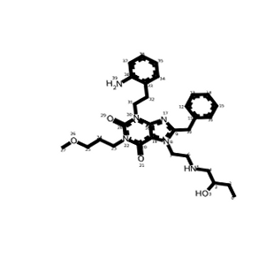 CCC(O)CNCCn1c(Cc2ccccc2)nc2c1c(=O)n(CCCOC)c(=O)n2CCc1ccccc1N